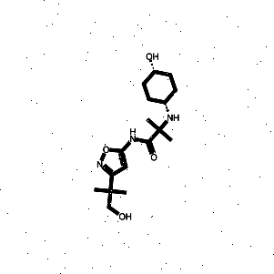 CC(C)(N[C@H]1CC[C@@H](O)CC1)C(=O)Nc1cc(C(C)(C)CO)no1